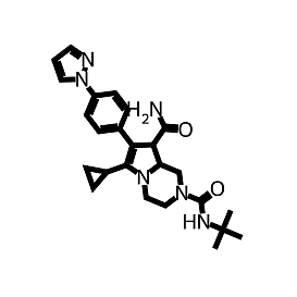 CC(C)(C)NC(=O)N1CCN2C(C3CC3)=C(c3ccc(-n4cccn4)cc3)C(C(N)=O)C2C1